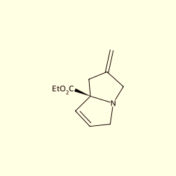 C=C1CN2CC=C[C@]2(C(=O)OCC)C1